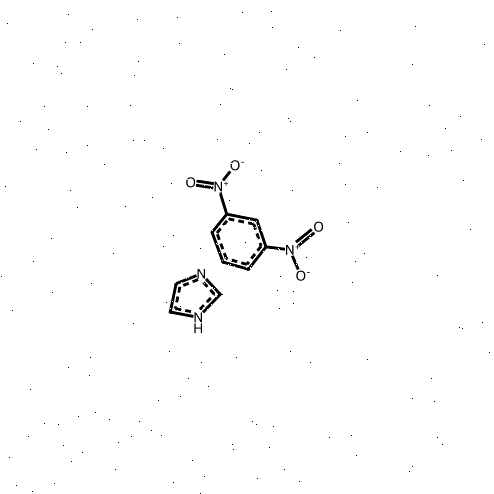 O=[N+]([O-])c1cccc([N+](=O)[O-])c1.c1c[nH]cn1